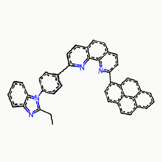 CCc1nc2ccccc2n1-c1ccc(-c2ccc3ccc4ccc(-c5ccc6ccc7cccc8ccc5c6c78)nc4c3n2)cc1